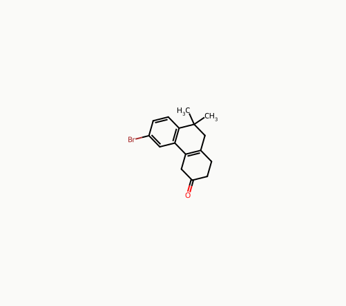 CC1(C)CC2=C(CC(=O)CC2)c2cc(Br)ccc21